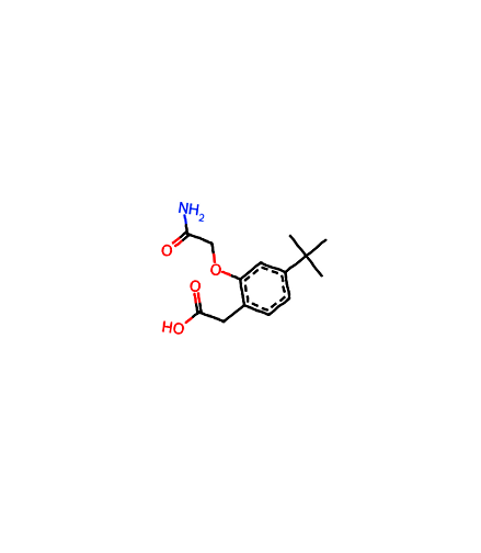 CC(C)(C)c1ccc(CC(=O)O)c(OCC(N)=O)c1